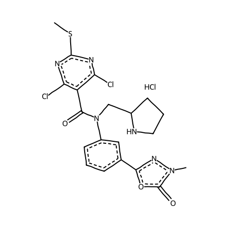 CSc1nc(Cl)c(C(=O)N(CC2CCCN2)c2cccc(-c3nn(C)c(=O)o3)c2)c(Cl)n1.Cl